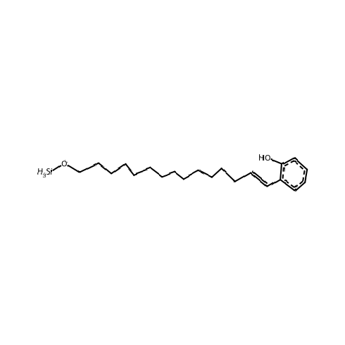 Oc1ccccc1C=CCCCCCCCCCCCCCO[SiH3]